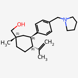 C=C(C)[C@@H]1CC[C@](C)(CO)C[C@H]1c1ccc(CN2CCCC2)cc1